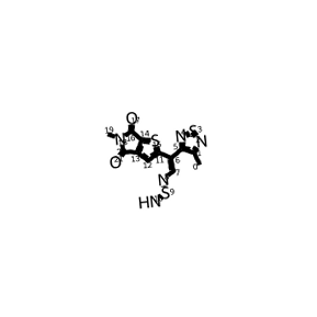 Cc1nsnc1/C(=C/N=S=N)c1cc2c(s1)C(=O)N(C)C2=O